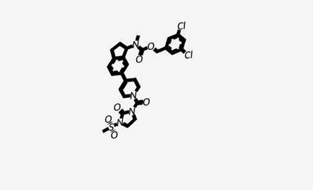 CN(C(=O)OCc1cc(Cl)cc(Cl)c1)C1CCc2ccc(C3=CCN(C(=O)N4CCN(S(C)(=O)=O)C4=O)CC3)cc21